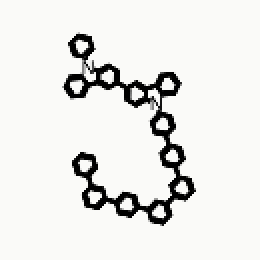 c1ccc(-c2cccc(-c3ccc(-c4cccc(-c5cccc(-c6ccc(-c7ccc(-n8c9ccccc9c9cc(-c%10ccc%11c(c%10)c%10ccccc%10n%11-c%10ccccc%10)ccc98)cc7)cc6)c5)c4)cc3)c2)cc1